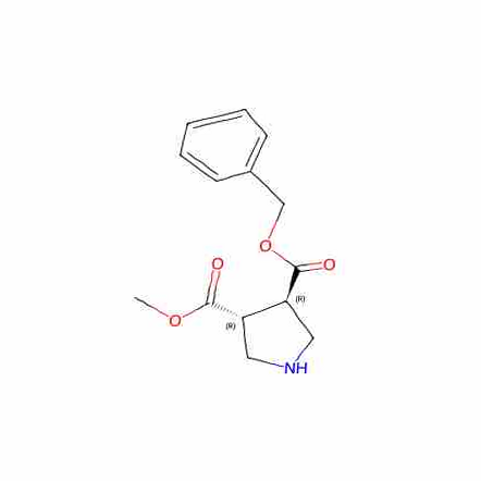 COC(=O)[C@H]1CNC[C@@H]1C(=O)OCc1ccccc1